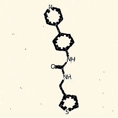 O=C(NCc1ccsc1)Nc1ccc(-c2ccncc2)cc1